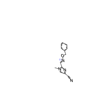 Cn1cc(C#N)nc1/C=N/OCc1ccccc1